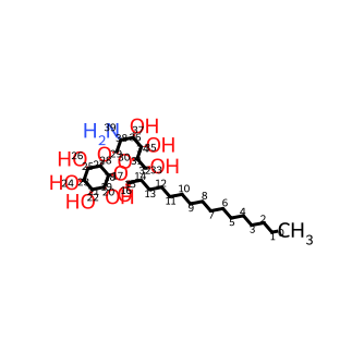 CCCCCCCCCCCCCCCC(=O)OC1[C@H](O)C(O)C(O)[C@H](O)[C@@H]1O[C@H]1OC(CO)[C@@H](O)[C@H](O)C1N